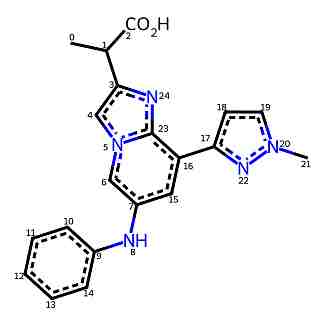 CC(C(=O)O)c1cn2cc(Nc3ccccc3)cc(-c3ccn(C)n3)c2n1